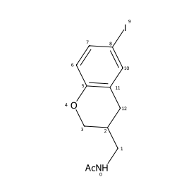 CC(=O)NCC1COc2ccc(I)cc2C1